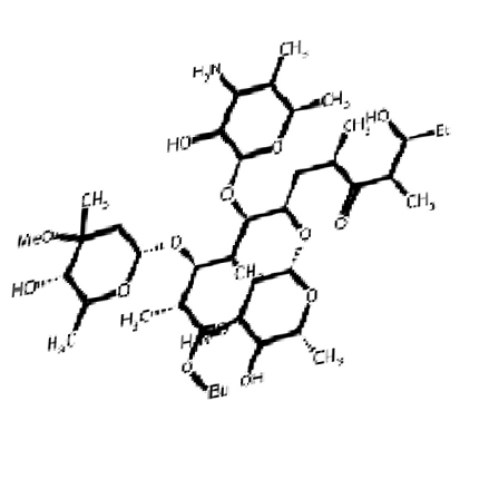 CCC(C)OC(=O)[C@H](C)[C@@H](O[C@H]1CC(C)(OC)[C@@H](O)C(C)O1)[C@H](C)[C@@H](O[C@@H]1O[C@H](C)C(C)C(N)C1O)[C@@H](C[C@@H](C)C(=O)[C@H](C)[C@@H](O)CC)O[C@H]1CC(N)C(O)[C@@H](C)O1